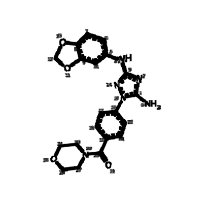 Nc1nc(Nc2ccc3c(c2)OCO3)nn1-c1ccc(C(=O)N2CCOCC2)cc1